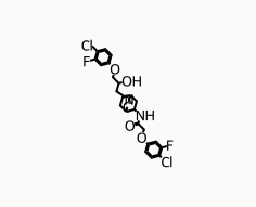 O=C(COc1ccc(Cl)c(F)c1)NC1CC2CCC1CN2CC(O)COc1ccc(Cl)c(F)c1